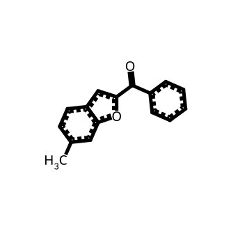 Cc1ccc2cc(C(=O)c3ccccc3)oc2c1